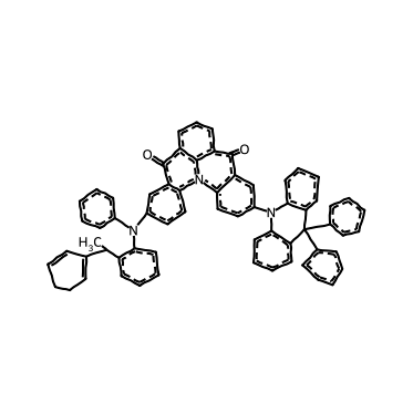 CC(C1=CCCC=C1)c1ccccc1N(c1ccccc1)c1ccc2c(c1)c(=O)c1cccc3c(=O)c4cc(N5c6ccccc6C(c6ccccc6)(c6ccccc6)c6ccccc65)ccc4n2c13